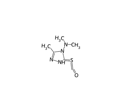 Cc1n[nH]c(=S=C=O)n1N(C)C